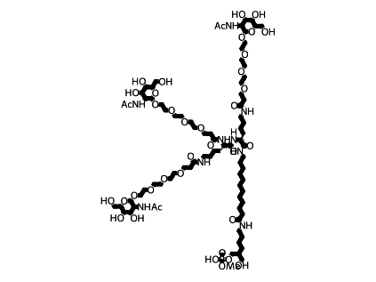 COP(=O)(O)OCC(CO)CCCCNC(=O)CCCCCCCCCCCNC(=O)[C@H](CCCCNC(=O)CCOCCOCCOCCOC1OC(CO)C(O)C(O)C1NC(C)=O)NC(=O)[C@H](CCCCNC(=O)CCOCCOCCOCCOC1OC(CO)C(O)C(O)C1NC(C)=O)NC(=O)CCOCCOCCOCCOC1OC(CO)C(O)C(O)C1NC(C)=O